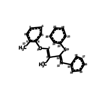 CC(=C\Oc1ccccc1C)/C(=N/c1ccccc1)Sc1ccccc1